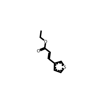 CCOC(=O)C=Cc1ccsc1